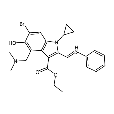 CCOC(=O)c1c(C=[SH]c2ccccc2)n(C2CC2)c2cc(Br)c(O)c(CN(C)C)c12